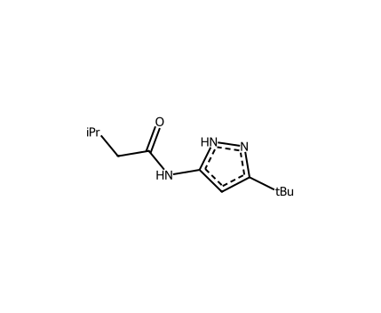 CC(C)CC(=O)Nc1cc(C(C)(C)C)n[nH]1